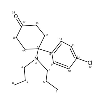 CCCN(CCC)C1(c2ccc(Cl)cc2)CCC(=O)CC1